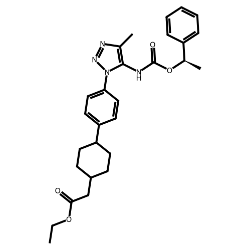 CCOC(=O)CC1CCC(c2ccc(-n3nnc(C)c3NC(=O)O[C@H](C)c3ccccc3)cc2)CC1